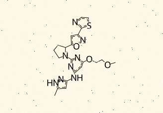 COCCOc1cc(Nc2cc(C)[nH]n2)nc(N2CCCC2c2cc(-c3nccs3)no2)n1